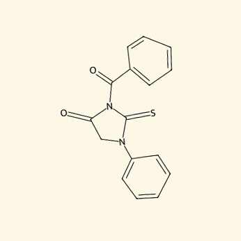 O=C1CN(c2ccccc2)C(=S)N1C(=O)c1ccccc1